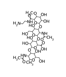 COC1C(C(=O)NCCN)OC(OC2C(O)C(CO)OC(OC3C(C(=O)O)OC(OC4C(O)C(CO)OC(C)C4NC(C)=O)C(O)C3O)C2NC(C)=O)C(O)C1O